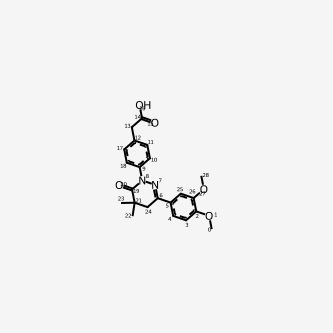 COc1ccc(C2=NN(c3ccc(CC(=O)O)cc3)C(=O)C(C)(C)C2)cc1OC